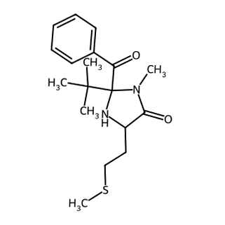 CSCCC1NC(C(=O)c2ccccc2)(C(C)(C)C)N(C)C1=O